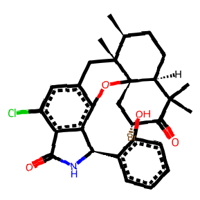 C[C@H]1CC[C@H]2C(C)(C)C(=O)[C@H](Br)C[C@]23Oc2c(cc(Cl)c4c2[C@@H](c2ccccc2O)NC4=O)C[C@]13C